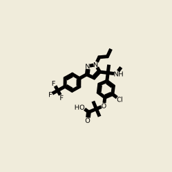 CCCn1nc(-c2ccc(C(F)(F)F)cc2)cc1C(C)(NC)c1ccc(OC(C)(C)C(=O)O)c(Cl)c1